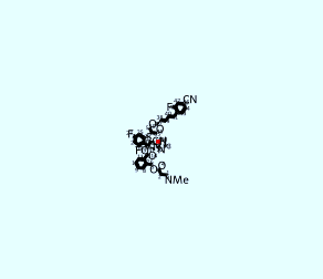 CNCCC(=O)OCc1ccccc1C(=O)O[C@@](Cn1cncn1)(c1ccc(F)cc1F)[C@@H](C)S[C@H]1CO[C@H](C=CC=Cc2ccc(C#N)cc2F)OC1